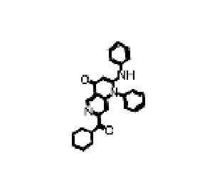 O=C(c1cc2c(cn1)c(=O)cc(Nc1ccccc1)n2-c1ccccc1)C1CCCCC1